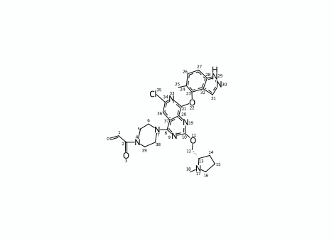 C=CC(=O)N1CCN(c2nc(OC[C@@H]3CCCN3C)nc3c(Oc4c(C)ccc5[nH]ncc45)nc(Cl)cc23)CC1